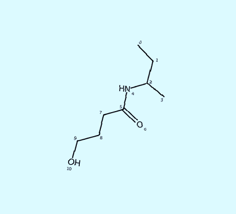 CCC(C)NC(=O)CCCO